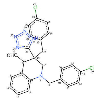 O=CC1c2ccccc2N(Cc2ccc(Cl)cc2)CC1(Cc1ccc(Cl)cc1)c1nnn[nH]1